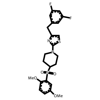 COc1ccc(OC)c(S(=O)(=O)C2CCN(c3nc(Cc4cc(F)cc(F)c4)cs3)CC2)c1